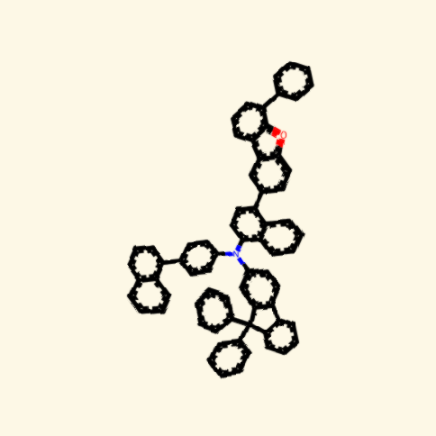 c1ccc(-c2cccc3c2oc2ccc(-c4ccc(N(c5ccc(-c6cccc7ccccc67)cc5)c5ccc6c(c5)C(c5ccccc5)(c5ccccc5)c5ccccc5-6)c5ccccc45)cc23)cc1